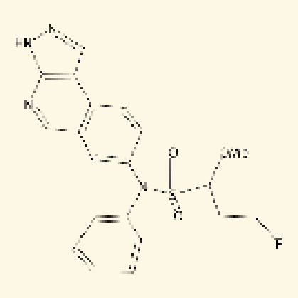 COC(CCF)S(=O)(=O)N(c1ccccc1)c1ccc2c(cnc3[nH]ncc32)c1